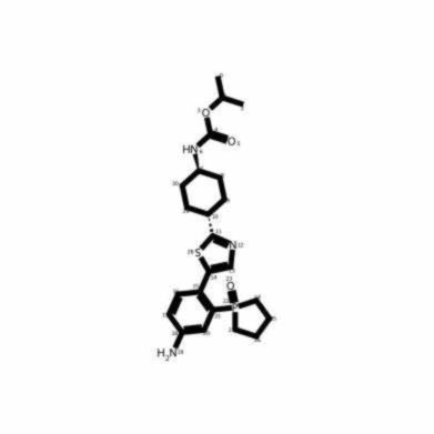 CC(C)OC(=O)N[C@H]1CC[C@H](c2ncc(-c3ccc(N)cc3P3(=O)CCCC3)s2)CC1